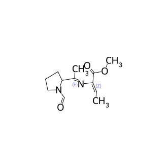 C/C=C(\N=C(/C)C1CCCN1C=O)C(=O)OC